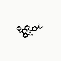 CCNC(=O)N1CCC(Nc2nccc(-c3c(-c4cccc(O)c4)nc4sccn34)n2)CC1